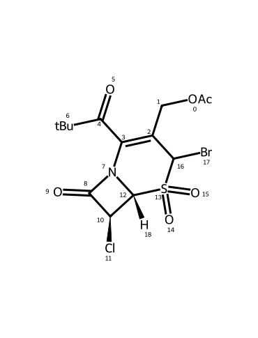 CC(=O)OCC1=C(C(=O)C(C)(C)C)N2C(=O)[C@H](Cl)[C@H]2S(=O)(=O)C1Br